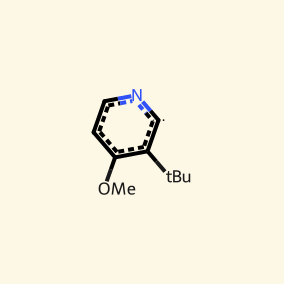 COc1ccn[c]c1C(C)(C)C